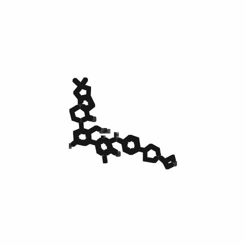 CC(=O)OCc1c(-c2cn(C)c(=O)c(Nc3ccc(C4CCN(C5COC5)CC4)cc3)n2)cc(F)cc1N1CCn2c(cc3c2CC(C)(C)C3)C1=O